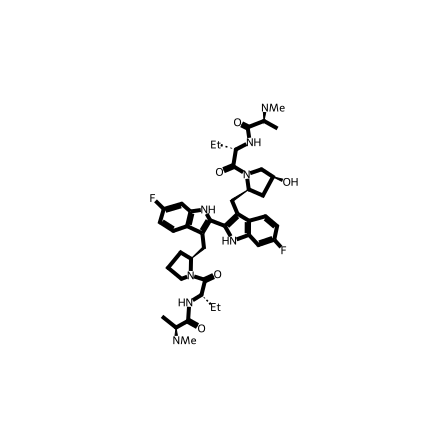 CC[C@H](NC(=O)[C@H](C)NC)C(=O)N1CCC[C@H]1Cc1c(-c2[nH]c3cc(F)ccc3c2C[C@@H]2C[C@H](O)CN2C(=O)[C@H](CC)NC(=O)[C@H](C)NC)[nH]c2cc(F)ccc12